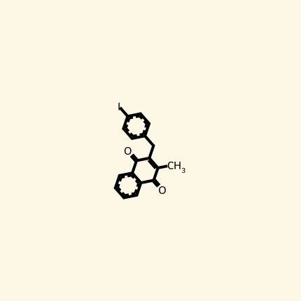 CC1=C(Cc2ccc(I)cc2)C(=O)c2ccccc2C1=O